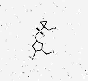 CC[C@@H]1C[C@H](NS(=O)(=O)C2(CC)CC2)C[C@@H]1C